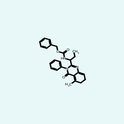 CCC(NC(=O)OCc1ccccc1)c1nc2c(c(=O)n1-c1ccccc1)=C(C)CCC=2